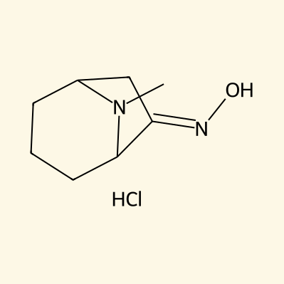 CN1C2CCCC1/C(=N/O)C2.Cl